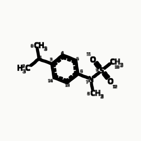 CC(C)c1ccc(N(C)S(C)(=O)=O)cc1